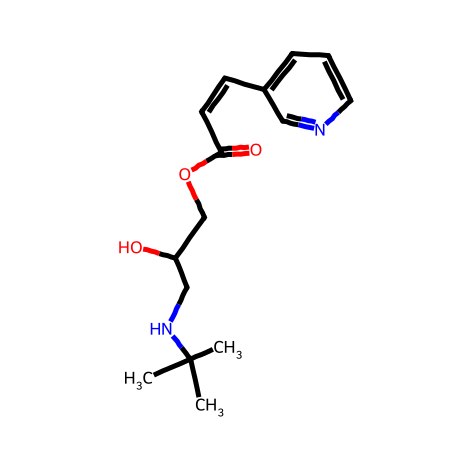 CC(C)(C)NCC(O)COC(=O)/C=C\c1cccnc1